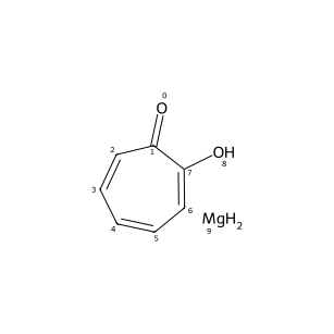 O=c1cccccc1O.[MgH2]